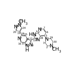 CN1CCN(c2ccnc3[nH]c(-c4n[nH]c5cnc(-c6cnn(C)c6)cc45)nc23)CC1